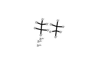 [O-]C([O-])([O-])C([O-])([O-])[O-].[O-]C([O-])([O-])C([O-])([O-])[O-].[Zr+4].[Zr+4].[Zr+4]